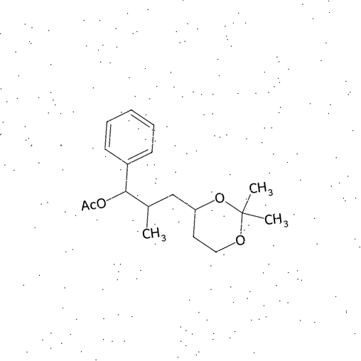 CC(=O)OC(c1ccccc1)C(C)CC1CCOC(C)(C)O1